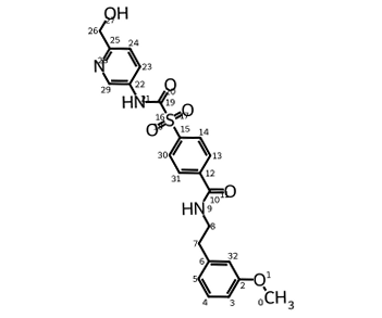 COc1cccc(CCNC(=O)c2ccc(S(=O)(=O)C(=O)Nc3ccc(CO)nc3)cc2)c1